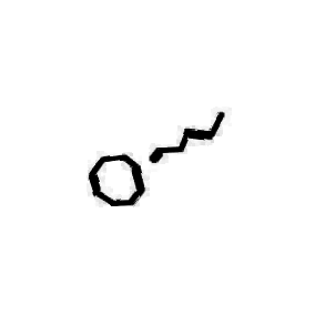 C1=C\CC/C=C\CC/1.C=CC/C=C/C